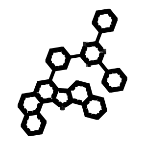 c1ccc(-c2nc(-c3ccccc3)nc(-c3cccc(-c4cc5ccc6ccccc6c5c5oc6c7ccccc7ccc6c45)c3)n2)cc1